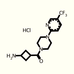 Cl.NC1CC(C(=O)N2CCN(c3ccc(C(F)(F)F)cn3)CC2)C1